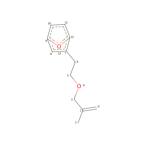 C=C(C)COCCc1cc2ccc1o2